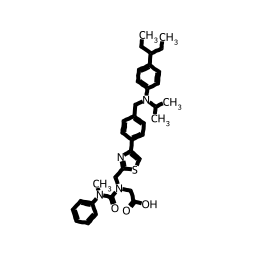 CCC(CC)c1ccc(N(Cc2ccc(-c3csc(CN(CC(=O)O)C(=O)N(C)c4ccccc4)n3)cc2)C(C)C)cc1